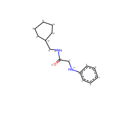 O=C(CNc1ccccc1)NCC1CCCCC1